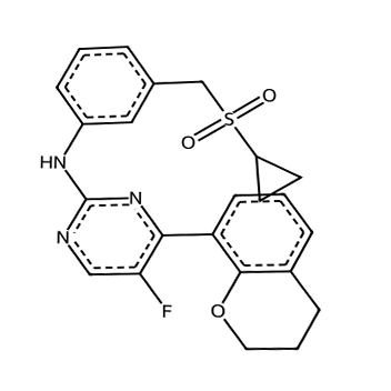 O=S(=O)(Cc1cccc(Nc2ncc(F)c(-c3cccc4c3OCCC4)n2)c1)C1CC1